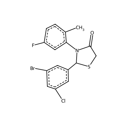 Cc1ccc(F)cc1N1C(=O)CSC1c1cc(Cl)cc(Br)c1